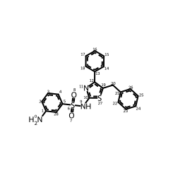 Nc1cccc(S(=O)(=O)Nc2nc(-c3ccccc3)c(Cc3ccccc3)s2)c1